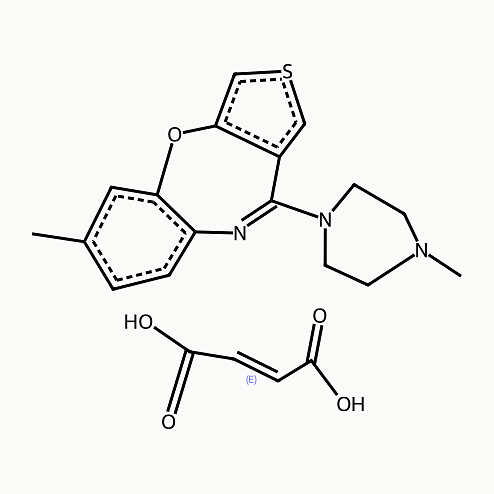 Cc1ccc2c(c1)Oc1cscc1C(N1CCN(C)CC1)=N2.O=C(O)/C=C/C(=O)O